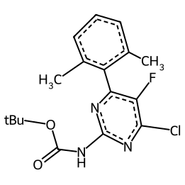 Cc1cccc(C)c1-c1nc(NC(=O)OC(C)(C)C)nc(Cl)c1F